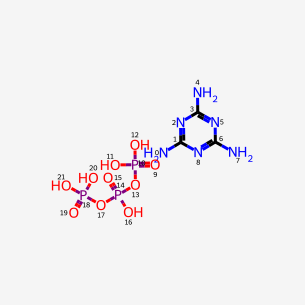 Nc1nc(N)nc(N)n1.O=P(O)(O)OP(=O)(O)OP(=O)(O)O